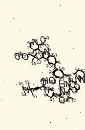 CO[C@@H](C)c1ncccc1-c1c(CC(C)(C)COC=O)c2cc(-c3cc(O)cc(C[C@H](NC(=O)[C@H](C(C)C)N(C)C(=O)[C@H]4CCN(C(=O)C#CC(C)(C)N(C)C)C4)C(=O)N4CCCCN4)c3)ccc2n1C